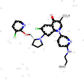 COCCNc1ccc(-n2cc(C(=O)O)c(=O)c3cc(Cl)c(N4CCC[C@@H]4COc4ncccc4Cl)cc32)cn1